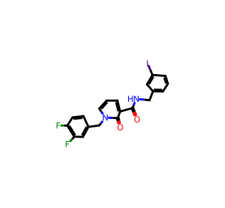 O=C(NCc1cccc(I)c1)c1cccn(Cc2ccc(F)c(F)c2)c1=O